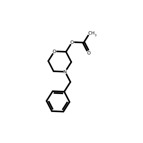 CC(=O)OC1CN(Cc2ccccc2)CCO1